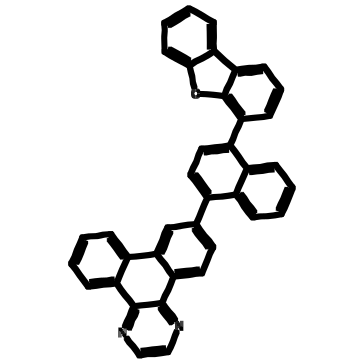 c1ccc2c(c1)oc1c(-c3ccc(-c4ccc5c(c4)c4ccccc4c4nccnc54)c4ccccc34)cccc12